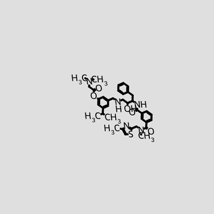 Cc1csc(CN(C)C(=O)c2cccc(C(=O)NC(Cc3ccccc3)C(O)CNCc3cc(OC(=O)CN(C)C)cc(C(C)C)c3)c2)n1